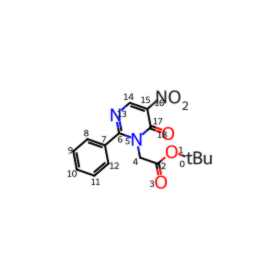 CC(C)(C)OC(=O)Cn1c(-c2ccccc2)ncc([N+](=O)[O-])c1=O